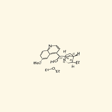 CCOCC.CC[C@H]1C[N@]2CC[C@H]1C[C@@H]2[C@@H](O)c1ccnc2ccc(OC)cc12